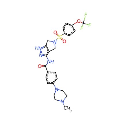 CN1CCN(c2ccc(C(=O)Nc3n[nH]c4c3CN(S(=O)(=O)c3ccc(OC(F)(F)F)cc3)C4)cc2)CC1